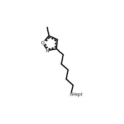 CCCCCCCCCCCCc1cc(C)on1